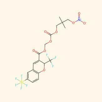 CC(C)(COC(=O)OCOC(=O)C1=Cc2cc(S(F)(F)(F)(F)F)ccc2OC1C(F)(F)F)CO[N+](=O)[O-]